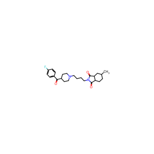 CC1CCC2C(=O)N(CCCCN3CCC(C(=O)c4ccc(F)cc4)CC3)C(=O)C2C1